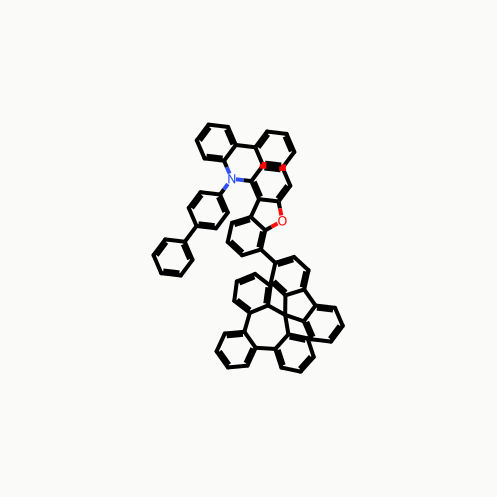 c1ccc(-c2ccc(N(c3ccccc3-c3ccccc3)c3cccc4oc5c(-c6ccc7c(c6)C6(c8ccccc8-c8ccccc8-c8ccccc86)c6ccccc6-7)cccc5c34)cc2)cc1